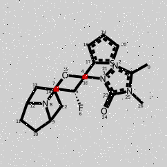 Cc1nn(C[C@H](F)CN2C3CCC2CC(OCc2cccs2)C3)c(=O)n1C